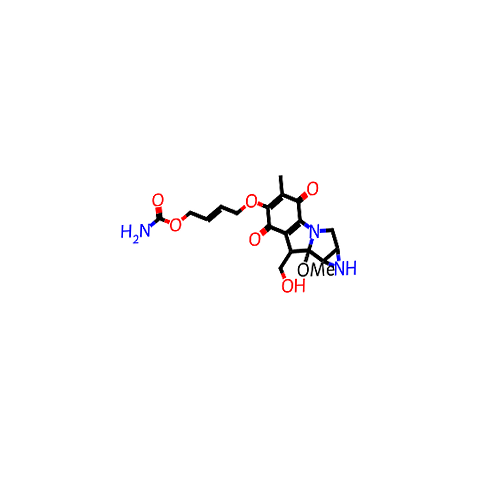 COC12C(CO)C3=C(C(=O)C(C)=C(OCC=CCOC(N)=O)C3=O)N1CC1NC12